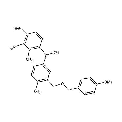 CNc1ccc(C(O)c2ccc(C)c(COCc3ccc(OC)cc3)c2)c(C)c1N